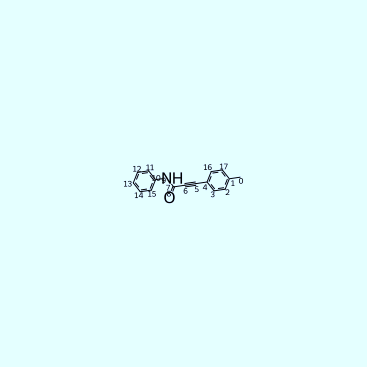 Cc1ccc(C#CC(=O)Nc2ccccc2)cc1